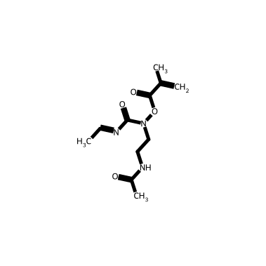 C=C(C)C(=O)ON(CCNC(C)=O)C(=O)N=CC